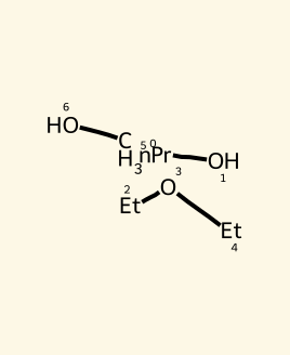 CCCO.CCOCC.CO